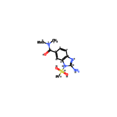 CON(C)C(=O)c1ccc2nc(N)n(S(=O)(=O)C(C)C)c2c1